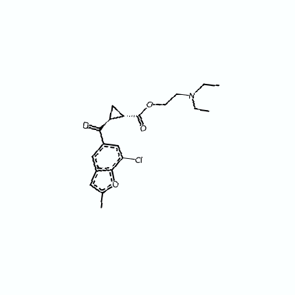 CCN(CC)CCOC(=O)[C@H]1C[C@@H]1C(=O)c1cc(Cl)c2oc(C)cc2c1